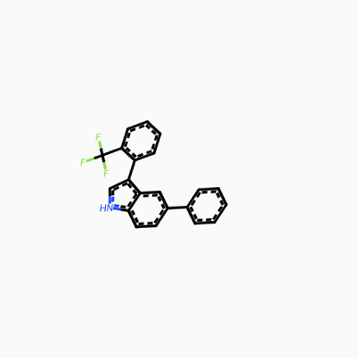 FC(F)(F)c1ccccc1-c1c[nH]c2ccc(-c3ccccc3)cc12